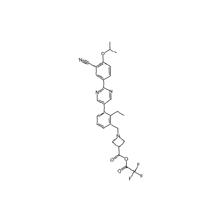 CCc1c(CN2CC(C(=O)OC(=O)C(F)(F)F)C2)cccc1-c1cnc(-c2ccc(OC(C)C)c(C#N)c2)nc1